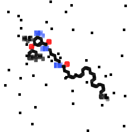 CC/C=C\C/C=C\C/C=C\C/C=C\C/C=C\C/C=C\CCC(=O)NCCCCCNC(=O)C1=C[C@@H](OC(CC)CC)[C@H](C)[C@@H](N)C1